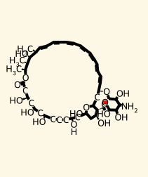 C[C@@H]1[C@H](O)[C@@H](C)/C=C/C=C/C=C/C=C/C=C/C=C/C=C/[C@H](OC2OCC(O)C(N)C2O)CC2O[C@](O)(C[C@@H](O)CCC[C@@H](O)C[C@@H](O)C[C@@H](O)CC(=O)O[C@H]1C)C[C@H](O)[C@H]2C(=O)O